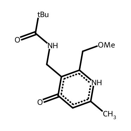 COCc1[nH]c(C)cc(=O)c1CNC(=O)C(C)(C)C